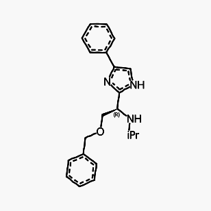 CC(C)N[C@@H](COCc1ccccc1)c1nc(-c2ccccc2)c[nH]1